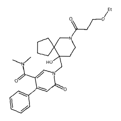 CCOCCC(=O)N1CCC(O)(Cn2cc(C(=O)N(C)C)c(-c3ccccc3)cc2=O)C2(CCCC2)C1